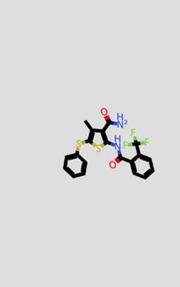 Cc1c(Sc2ccccc2)sc(NC(=O)c2ccccc2C(F)(F)F)c1C(N)=O